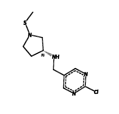 CSN1CC[C@@H](NCc2cnc(Cl)nc2)C1